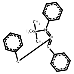 C[Si](C)(C)/[N+](c1ccccc1)=P(\[N]c1ccccc1)=N\c1ccccc1